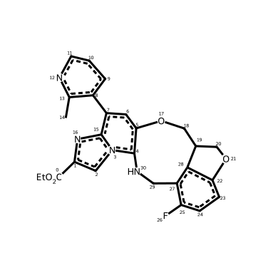 CCOC(=O)c1cn2c3c(cc(-c4cccnc4C)c2n1)OCC1COc2ccc(F)c(c21)CN3